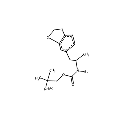 CCN(C(=O)OCC(C)(C)NC(C)=O)C(C)Cc1ccc2c(c1)OCO2